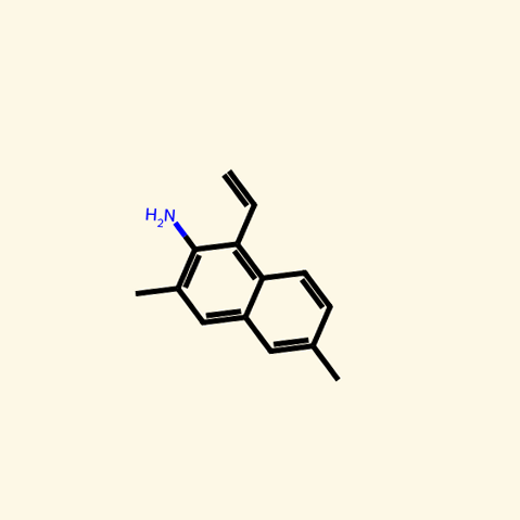 C=Cc1c(N)c(C)cc2cc(C)ccc12